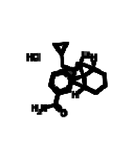 CCO[C@]1(c2cccc(C(N)=O)c2)[C@@H]2CCC[C@H]1CN(CC1CC1)C2.Cl